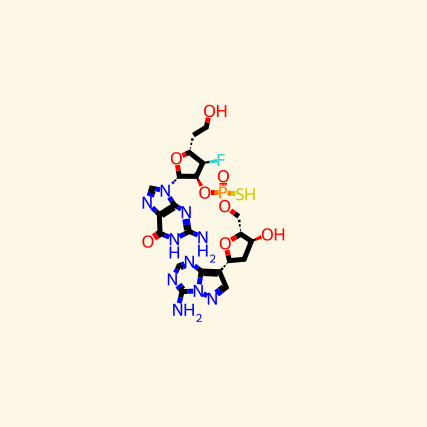 Nc1nc2c(ncn2[C@@H]2O[C@H](CCO)[C@@H](F)[C@H]2OP(=O)(S)OC[C@H]2O[C@@H](c3cnn4c(N)ncnc34)C[C@@H]2O)c(=O)[nH]1